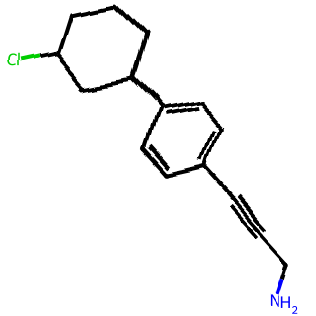 NCC#Cc1ccc(C2CCCC(Cl)C2)cc1